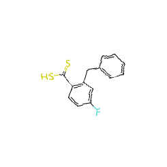 Fc1ccc(C(=S)S)c(Cc2ccccc2)c1